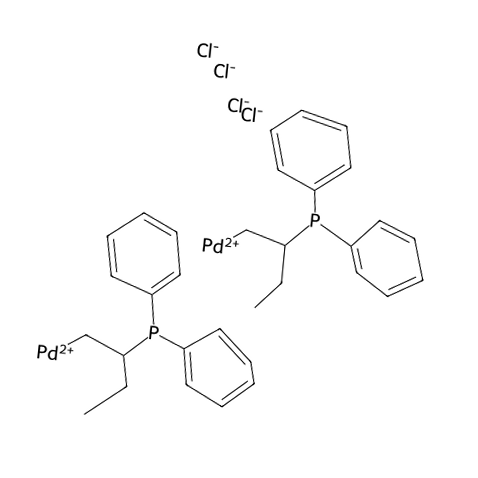 CCC([CH2][Pd+2])P(c1ccccc1)c1ccccc1.CCC([CH2][Pd+2])P(c1ccccc1)c1ccccc1.[Cl-].[Cl-].[Cl-].[Cl-]